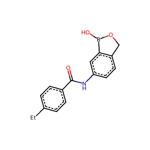 CCc1ccc(C(=O)Nc2ccc3c(c2)B(O)OC3)cc1